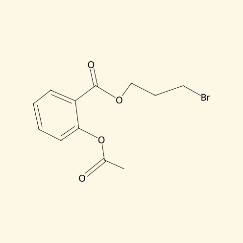 CC(=O)Oc1ccccc1C(=O)OCCCBr